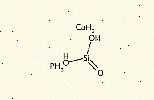 O=[Si](O)O.P.[CaH2]